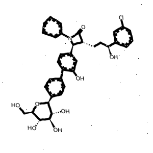 O=C1[C@H](CC[C@H](O)c2cccc(Cl)c2)[C@@H](c2ccc(-c3ccc([C@@H]4O[C@H](CO)[C@@H](O)[C@H](O)[C@H]4O)cc3)c(O)c2)N1c1ccccc1